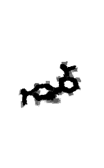 C=C(C)N1CCN(C2CCCN(C(C)C)C2)CC1